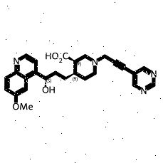 COc1ccc2nccc([C@@H](O)CC[C@@H]3CCN(CC#Cc4cncnc4)C[C@@H]3C(=O)O)c2c1